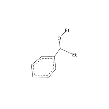 [CH2]CC(OCC)c1ccccc1